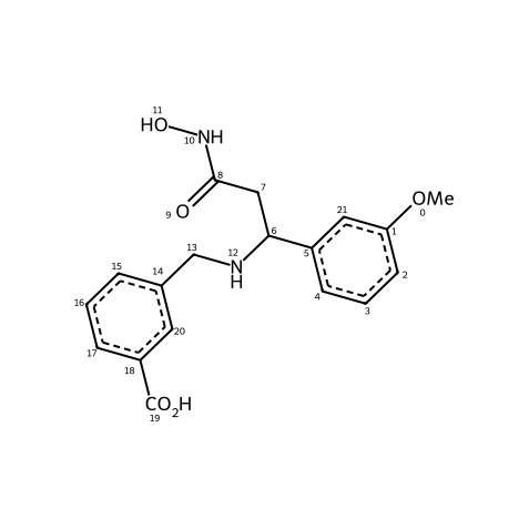 COc1cccc(C(CC(=O)NO)NCc2cccc(C(=O)O)c2)c1